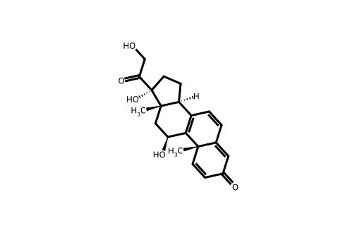 C[C@]12C=CC(=O)C=C1C=CC1=C2[C@@H](O)C[C@@]2(C)[C@H]1CC[C@]2(O)C(=O)CO